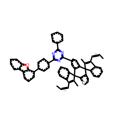 C/C=C\C1=C(C)C2(c3ccccc31)c1ccccc1C1(C(C)=C(/C=C\C)c3ccccc31)c1cc(-c3nc(-c4ccccc4)nc(-c4ccc(-c5cccc6c5oc5ccccc56)cc4)n3)ccc12